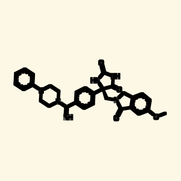 COc1ccc2c(c1)C(=O)N(C[C@@]1(c3ccc(C(=N)N4CCN(c5ccccc5)CC4)cc3)NC(=O)NC1=O)C2